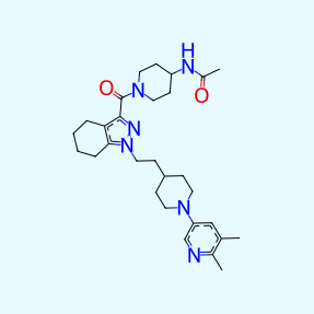 CC(=O)NC1CCN(C(=O)c2nn(CCC3CCN(c4cnc(C)c(C)c4)CC3)c3c2CCCC3)CC1